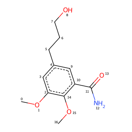 COc1cc(CCCO)cc(C(N)=O)c1OC